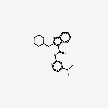 C[S@@+]([O-])c1ccnc(NC(=O)c2c3ccccc3nn2CC2CCCCC2)c1